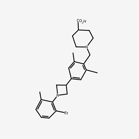 CCc1cccc(C)c1N1CC(c2cc(C)c(CN3CCC(C(=O)O)CC3)c(C)c2)C1